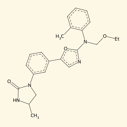 CCOCN(c1ncc(-c2cccc(N3CC(C)NC3=O)c2)o1)c1ccccc1C